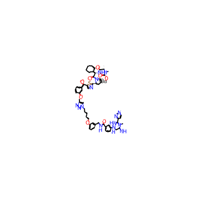 C[C@@H](C(=O)N[C@H](C(=O)N1CCC[C@H]1c1ncc(C(=O)c2cccc(OCc3cn(CCCCCOc4cccc(CNC(=O)c5cccc(NCC(=N)N(C)C(=N)c6ccncn6)c5)c4)nn3)c2)s1)C1CCCCC1)N(C)C(=O)OC(C)(C)C